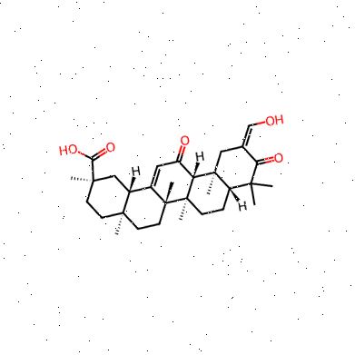 CC1(C)C(=O)/C(=C\O)C[C@]2(C)[C@H]3C(=O)C=C4[C@H]5C[C@](C)(C(=O)O)CC[C@]5(C)CC[C@@]4(C)[C@]3(C)CC[C@@H]12